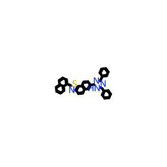 c1ccc(C2=NC(c3ccc4c(ccc5nc(-c6cccc7ccccc67)sc54)c3)NC(c3ccccc3)=N2)cc1